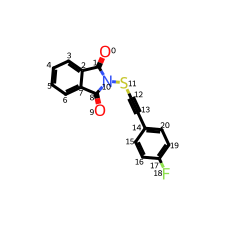 O=C1c2ccccc2C(=O)N1SC#Cc1ccc(F)cc1